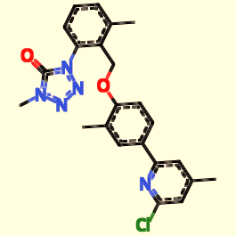 Cc1cc(Cl)nc(-c2ccc(OCc3c(C)cccc3-n3nnn(C)c3=O)c(C)c2)c1